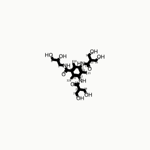 O=C(NCC(O)CO)c1c(I)c(NC(=O)C(CO)CO)c(I)c(NC(=O)C(CO)CO)c1I